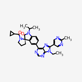 CCn1c(-c2cnc(C)nc2)nc2c(-c3ccc4c(c3)[C@@]3(CCCN3C(=O)C3CC3)C(=O)N4C(C)C)ncnc21